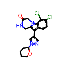 O=C1Cn2c(c(-c3cnn(C4CCCCO4)c3)c3ccc(Cl)c(Cl)c32)CN1